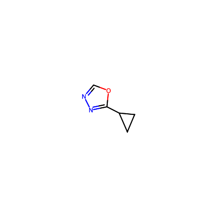 c1nnc(C2CC2)o1